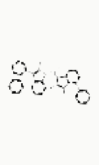 CC1=C(C)c2c(cccc2-c2ccccc2)[C]1[SiH2][C]1C(C)=C(c2ccccc2)c2c1cccc2-c1ccccc1